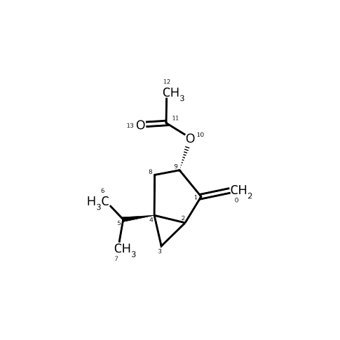 C=C1C2C[C@]2(C(C)C)C[C@@H]1OC(C)=O